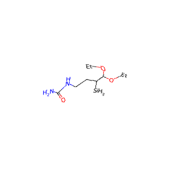 CCOC(OCC)C([SiH3])CCNC(N)=O